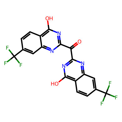 O=C(c1nc(O)c2ccc(C(F)(F)F)cc2n1)c1nc(O)c2ccc(C(F)(F)F)cc2n1